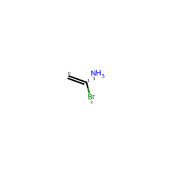 C=CBr.N